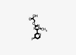 Cn1nc(OCC(=O)O)nc1-c1cc(F)ccn1